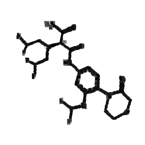 NC(=O)[C@@H](C(=O)Nc1ccc(N2CCOCC2=O)c(OC(F)F)c1)N(CC(F)F)CC(F)F